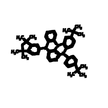 CC(C)(C)c1ccc(N2c3ccc(C(C)(C)C)cc3B3c4ccccc4N(c4ccc5c(c4)C(C)(C)CC5(C)C)c4ccnc2c43)cc1